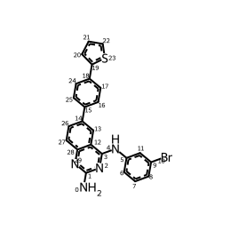 Nc1nc(Nc2cccc(Br)c2)c2cc(-c3ccc(-c4cccs4)cc3)ccc2n1